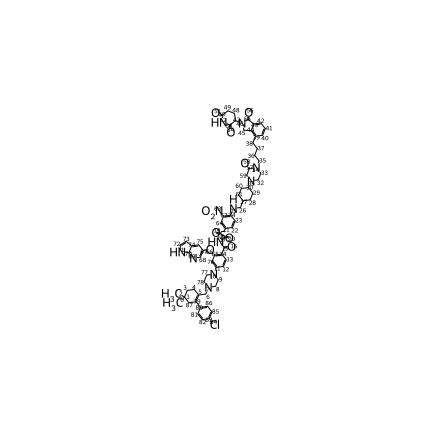 CC1(C)CCC(CN2CCN(c3ccc(C(=O)NS(=O)(=O)c4ccc(NCC5CCC(N6CCN(CCCCc7cccc8c7CN(C7CCC(=O)NC7=O)C8=O)C(=O)C6)CC5)c([N+](=O)[O-])c4)c(Oc4cnc5[nH]ccc5c4)c3)CC2)=C(c2ccc(Cl)cc2)C1